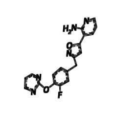 Nc1ncccc1-c1cc(Cc2ccc(Oc3ncccn3)c(F)c2)no1